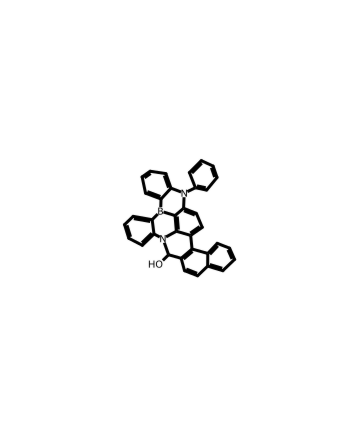 OC1c2ccc3ccccc3c2-c2ccc3c4c2N1c1ccccc1B4c1ccccc1N3c1ccccc1